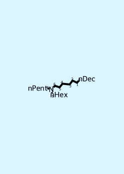 CCCCCCCCCCCCCCCCN(CCCCC)CCCCCC